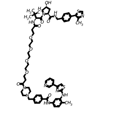 Cc1ccc(NC(=O)c2ccc(CN3CCN(C(=O)CCOCCOCCOCCOCCC(=O)N[C@H](C(=O)N4C[C@H](O)C[C@H]4C(=O)NCc4ccc(-c5scnc5C)cc4)C(C)(C)C)CC3)cc2)cc1Nc1nc(-c2cccnc2)cs1